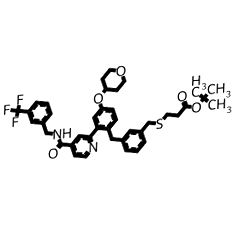 CC(C)(C)OC(=O)CCSCc1cccc(Cc2ccc(OC3CCOCC3)cc2-c2cc(C(=O)NCc3cccc(C(F)(F)F)c3)ccn2)c1